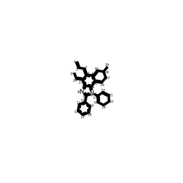 C=C/C=c1/c2c(c3c(nc(-c4ccccc4)n3C3=CCCC=C3)/c1=C/C)=CCC(C)C=2